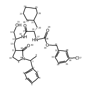 CC(c1ccccc1)N1CCC(CC(CO)NC(=O)[C@H](CC2CCCCC2)NC(=O)OCc2cccc(Cl)c2)C1=O